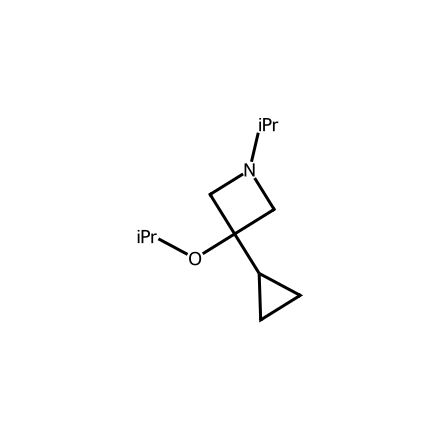 CC(C)OC1(C2CC2)CN(C(C)C)C1